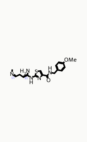 C/N=C\C/C=C(\N)Nc1nc(C(=O)NCc2ccc(OC)cc2)cs1